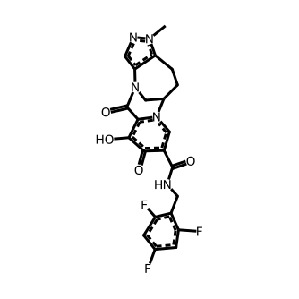 Cn1ncc2c1CCC1CN2C(=O)c2c(O)c(=O)c(C(=O)NCc3c(F)cc(F)cc3F)cn21